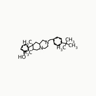 CC1CN2CCN(Cc3ccc(C(C)(C)C)cc3)CC2C[C@@]1(C)c1cccc(O)c1